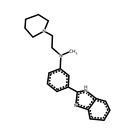 CN(CCN1CCCCC1)c1cccc(-c2nc3ccccc3[nH]2)c1